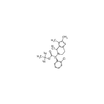 [2H]C([2H])(C)OC(=O)[C@H](c1ccccc1Cl)N1CCc2sc(C)c(C)c2C1C